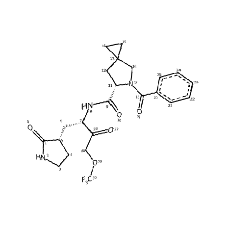 O=C1NCC[C@H]1C[C@H](NC(=O)[C@@H]1CC2(CC2)CN1C(=O)c1ccccc1)C(=O)COC(F)(F)F